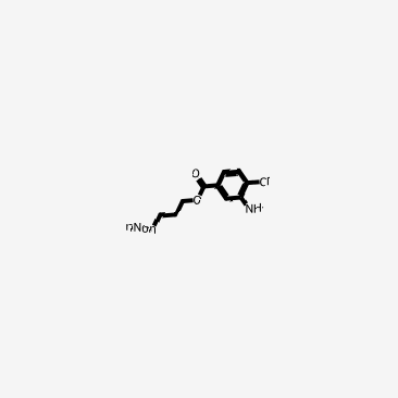 CCCCCCCCCCCCOC(=O)c1ccc(Cl)c([NH])c1